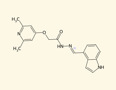 Cc1cc(OCC(=O)N/N=C/c2cccc3[nH]ccc23)cc(C)n1